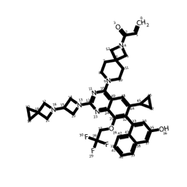 C=CC(=O)N1CC2(CCN(c3nc(N4CC(N5CC6(CC6)C5)C4)nc4c(OCC(F)(F)F)c(-c5cc(O)cc6ccccc56)c(C5CC5)cc34)CC2)C1